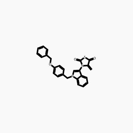 C=C1C(=O)SC(=O)N1c1cn(Cc2ccc(OCc3ccccc3)cc2)c2ccccc12